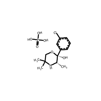 C[C@@H]1NC(C)(C)CO[C@@]1(O)c1cccc(Cl)c1.O=P(O)(O)O